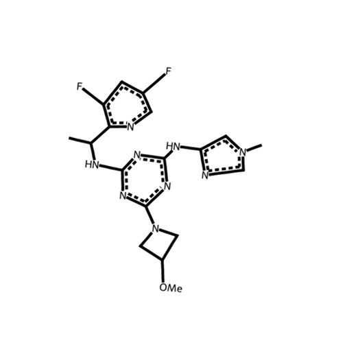 COC1CN(c2nc(Nc3cn(C)cn3)nc(NC(C)c3ncc(F)cc3F)n2)C1